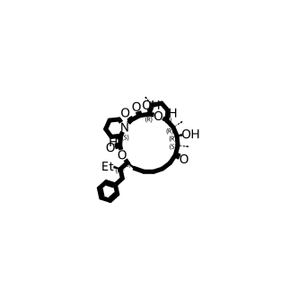 CC[C@H](Cc1ccccc1)[C@@H]1CCCCCC(=O)[C@@H](C)[C@H](O)[C@@H](C)[C@@H]2CC[C@@H](C)[C@@](O)(O2)C(=O)C(=O)N2CCCC[C@H]2C(=O)O1